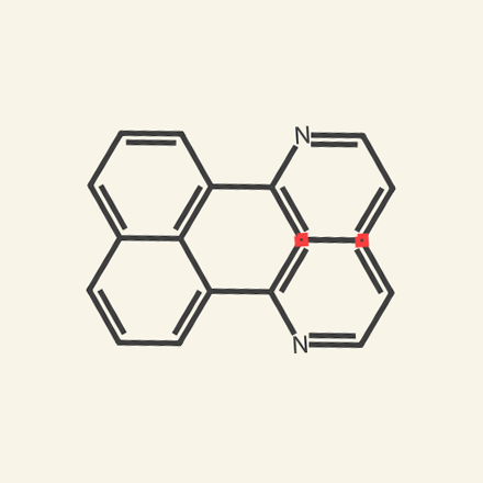 c1ccc(-c2cccc3cccc(-c4ccccn4)c23)nc1